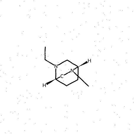 CCN1C[C@@H]2CC[C@H]1CN2C